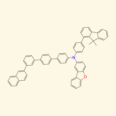 CC1(C)c2ccccc2-c2cccc(-c3ccc(N(c4ccc(-c5ccc(-c6cccc(-c7ccc8ccccc8c7)c6)cc5)cc4)c4ccc5oc6ccccc6c5c4)cc3)c21